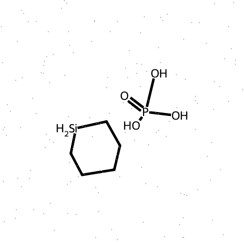 C1CC[SiH2]CC1.O=P(O)(O)O